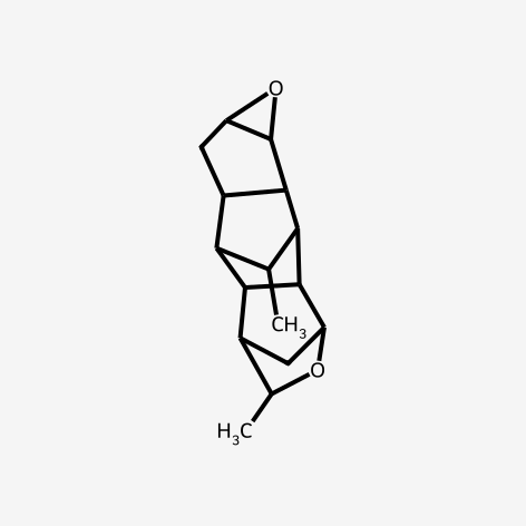 CC1OC2CC1C1C3C(C)C(C4C3CC3OC34)C21